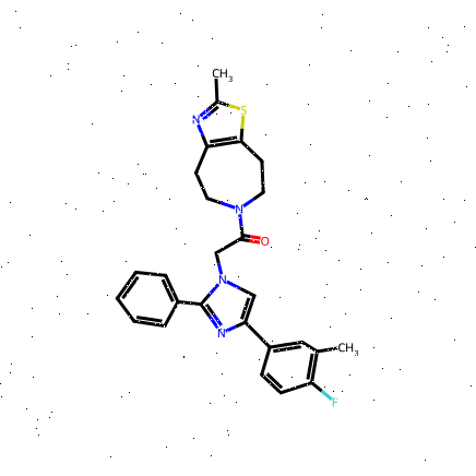 Cc1nc2c(s1)CCN(C(=O)Cn1cc(-c3ccc(F)c(C)c3)nc1-c1ccccc1)CC2